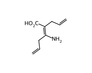 C=CC/C(N)=C(/CC=C)C(=O)O